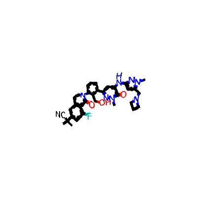 Cn1nc(Nc2cc(-c3cccc(-n4ccc5cc(C(C)(C)C#N)cc(F)c5c4=O)c3CO)nn(C)c2=O)cc1CN1CCC1